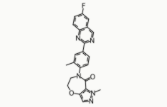 Cc1cc(-c2ncc3cc(F)ccc3n2)ccc1N1CCOc2cnn(C)c2C1=O